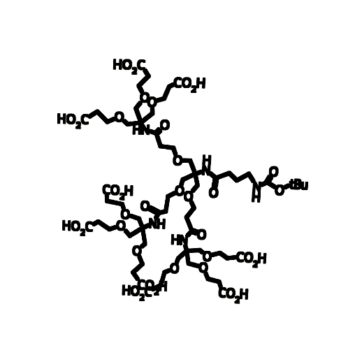 CC(C)(C)OC(=O)NCCCC(=O)NC(COCCC(=O)NC(COCCC(=O)O)(COCCC(=O)O)COCCC(=O)O)(COCCC(=O)NC(COCCC(=O)O)(COCCC(=O)O)COCCC(=O)O)COCCC(=O)NC(COCCC(=O)O)(COCCC(=O)O)COCCC(=O)O